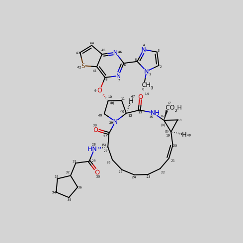 Cn1ccnc1-c1nc(O[C@@H]2C[C@H]3C(=O)N[C@]4(C(=O)O)C[C@H]4C=CCCCCC[C@H](NC(=O)CC4CCCC4)C(=O)N3C2)c2sccc2n1